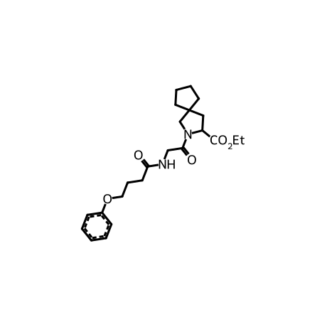 CCOC(=O)C1CC2(CCCC2)CN1C(=O)CNC(=O)CCCOc1ccccc1